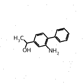 CC(O)c1ccc(-c2ccccc2)c(N)c1